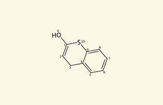 OC1=CCc2ccccc2S1